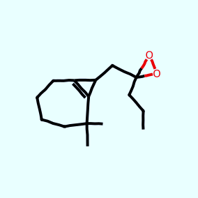 CCCC1(CC2C3=C2C(C)(C)CCCC3)OO1